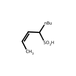 C/C=C\C(CCCC)S(=O)(=O)O